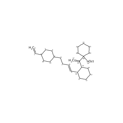 C=CC1CCC(CC/C=C/C2CCCCC2C(=C)C2(CCCCCCCC)CCCCC2)CC1